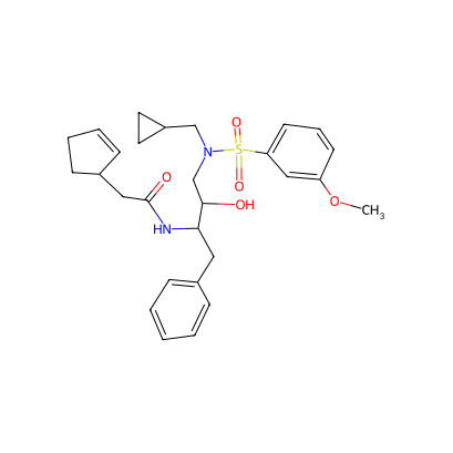 COc1cccc(S(=O)(=O)N(CC2CC2)CC(O)C(Cc2ccccc2)NC(=O)CC2C=CCC2)c1